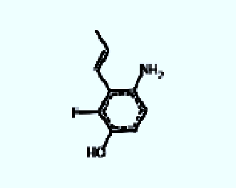 C/C=C/c1c(N)ccc(O)c1F